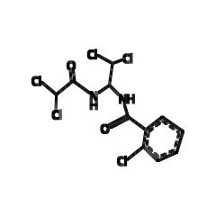 O=C(NC(NC(=O)C(Cl)Cl)C(Cl)Cl)c1ccccc1Cl